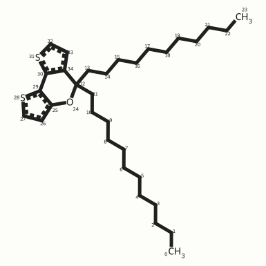 CCCCCCCCCCCCC1(CCCCCCCCCCC)Oc2ccsc2-c2sccc21